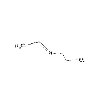 CC=NCCCC